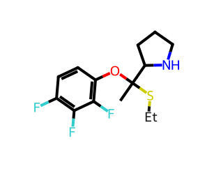 CCSC(C)(Oc1ccc(F)c(F)c1F)C1CCCN1